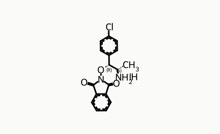 C[C@H](N)[C@H](ON1C(=O)c2ccccc2C1=O)c1ccc(Cl)cc1.I